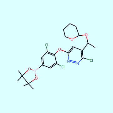 CC(OC1CCCCO1)c1cc(Oc2c(Cl)cc(B3OC(C)(C)C(C)(C)O3)cc2Cl)nnc1Cl